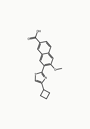 COc1cc2ccc(C(=O)O)cc2cc1-c1nc(C2CCC2)cs1